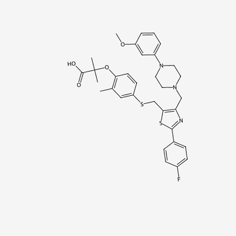 COc1cccc(N2CCN(Cc3nc(-c4ccc(F)cc4)sc3CSc3ccc(OC(C)(C)C(=O)O)c(C)c3)CC2)c1